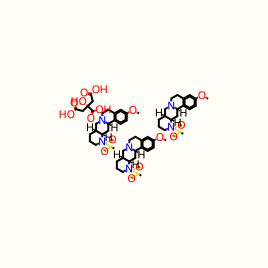 COc1ccc2c(c1)CCN1C[C@H]3CCCN(S(C)(=O)=O)[C@H]3C[C@@H]21.COc1ccc2c(c1)CCN1C[C@H]3CCCN(S(C)(=O)=O)[C@H]3C[C@@H]21.COc1ccc2c(c1)CCN1C[C@H]3CCCN(S(C)(=O)=O)[C@H]3C[C@@H]21.O=C(O)CC(O)(CC(=O)O)C(=O)O